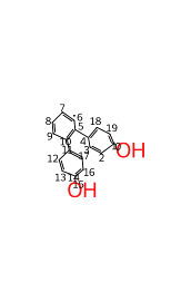 Oc1ccc(-c2[c]cccc2-c2ccc(O)cc2)cc1